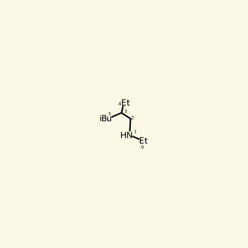 CCNCC(CC)C(C)CC